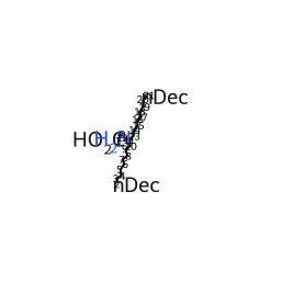 CC(=O)O.CCCCCCCCCCCCCCCCCCC(N)CCCCCCCCCCCCCCCCCC